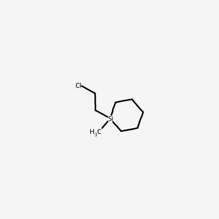 C[Si]1(CCCl)CCCCC1